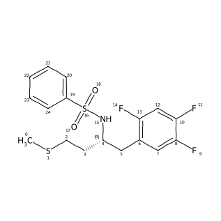 CSCC[C@@H](Cc1cc(F)c(F)cc1F)NS(=O)(=O)c1ccccc1